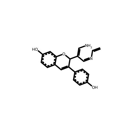 C=C/N=C\C(=C/N)C1Oc2cc(O)ccc2C=C1c1ccc(O)cc1